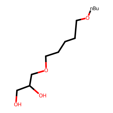 [CH2]CCCOCCCCCOCC(O)CO